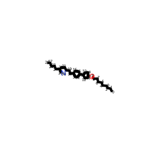 CCCCCCCCCOc1ccc(-c2ccc(CCc3ccc(CCCCC)cn3)cc2)cc1